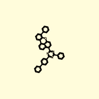 c1ccc(-c2ccc(-c3nc(-c4ccccc4)nc(-c4ccc5c6c(cccc46)-c4cccc(-c6ccccc6)c4O5)n3)cc2)cc1